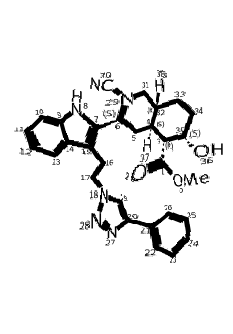 COC(=O)[C@@H]1[C@H]2C[C@@H](c3[nH]c4ccccc4c3CCn3cc(-c4ccccc4)nn3)N(C#N)C[C@@H]2CC[C@@H]1O